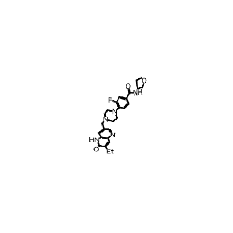 CCc1cc2ncc(CN3CCN(c4ccc(C(=O)N[C@@H]5CCOC5)cc4F)CC3)cc2[nH]c1=O